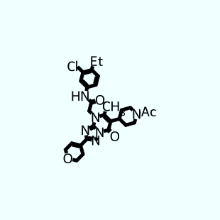 CCc1ccc(NC(=O)Cn2c(C)c(C3CCN(C(C)=O)CC3)c(=O)n3nc(C4=CCOCC4)nc23)cc1Cl